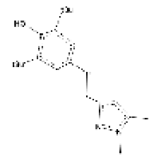 Cc1cc(C=Cc2cc(C(C)(C)C)c(O)c(C(C)(C)C)c2)nn1C